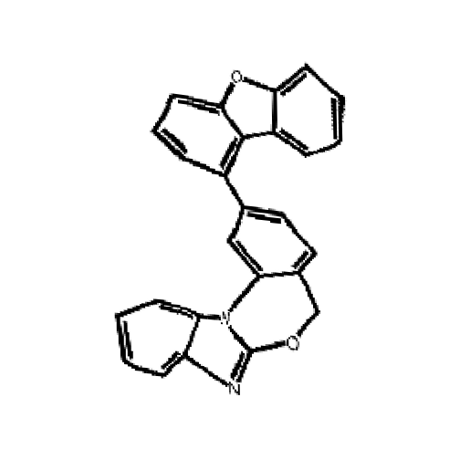 c1ccc2c(c1)nc1n2-c2cc(-c3cccc4oc5ccccc5c34)ccc2CO1